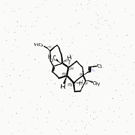 C[C@]12CC[C@H](O)CC1=CC[C@H]1[C@@H]3CC[C@H](O)[C@@]3(/C=C/Cl)CC[C@@H]12